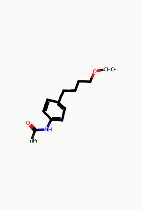 CCCC(=O)Nc1ccc(CCCCO[C]=O)cc1